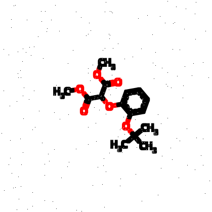 COC(=O)C(Oc1ccccc1OC(C)(C)C)C(=O)OC